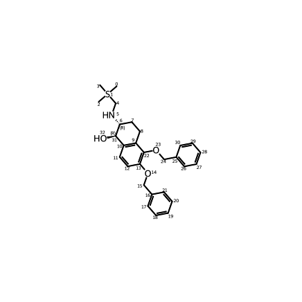 CS(C)(C)CN[C@@H]1CCc2c(ccc(OCc3ccccc3)c2OCc2ccccc2)[C@H]1O